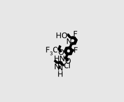 Cc1n[nH]c(Cl)c1NC(=O)c1cc(F)c(-c2ccc(F)c(CO)n2)cc1OC(C)C(F)(F)F